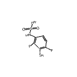 CCCS(=O)(=O)Nc1ccc(F)c(S)c1F